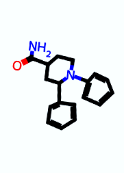 NC(=O)C1CCN(c2ccccc2)C(c2ccccc2)C1